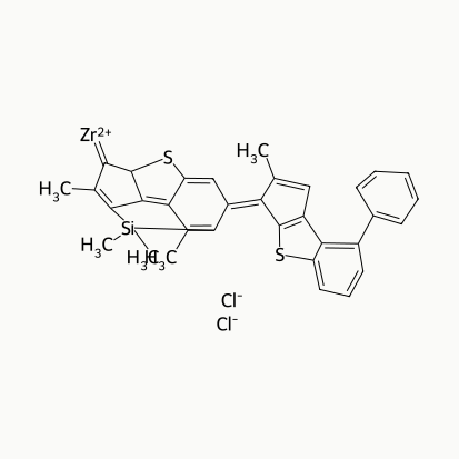 CC1=Cc2c(sc3cccc(-c4ccccc4)c23)C1=c1cc2c3c(C)c1[Si](C)(C)C1=C(C)[C](=[Zr+2])C(S2)C=31.[Cl-].[Cl-]